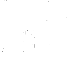 Cc1ccc2nc(C)n(C)c2c1I